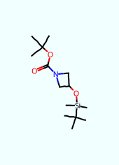 CC(C)(C)OC(=O)N1CC(O[Si](C)(C)C(C)(C)C)C1